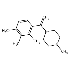 C=C(c1ccc(C)c(C)c1C)N1CCN(C)CC1